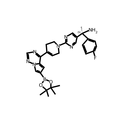 CC1(C)OB(c2cc3c(C4=CCN(c5ncc([C@@](C)(N)c6ccc(F)cc6)cn5)CC4)ncnn3c2)OC1(C)C